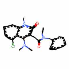 CN(C)c1c(C(=O)N(C)c2ccccc2)c(=O)n(C)c2cccc(Cl)c12